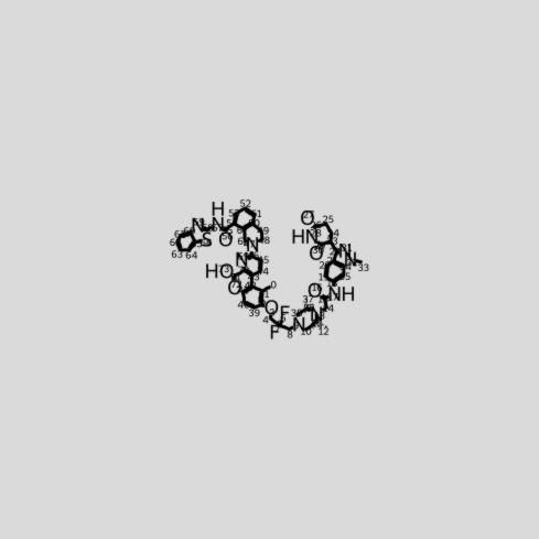 Cc1c(OCC(F)(F)CN2C[C@@H](C)N(CC(=O)Nc3ccc4c(C5CCC(=O)NC5=O)nn(C)c4c3)[C@@H](C)C2)cccc1-c1ccc(N2CCc3cccc(C(=O)Nc4nc5ccccc5s4)c3C2)nc1C(=O)O